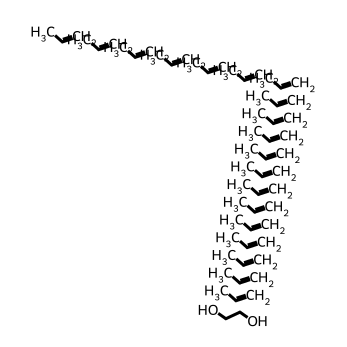 C=CC.C=CC.C=CC.C=CC.C=CC.C=CC.C=CC.C=CC.C=CC.C=CC.C=CC.C=CC.C=CC.C=CC.C=CC.C=CC.C=CC.C=CC.C=CC.OCCO